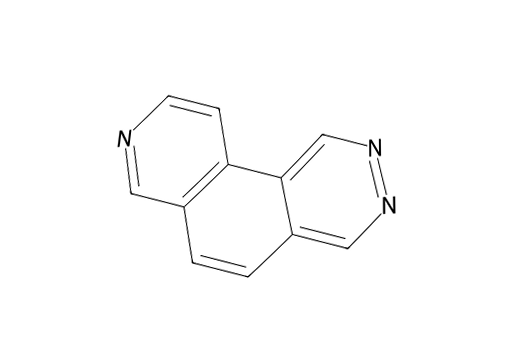 c1cc2c(ccc3cnncc32)cn1